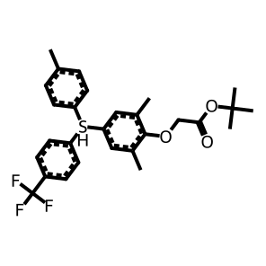 Cc1ccc([SH](c2ccc(C(F)(F)F)cc2)c2cc(C)c(OCC(=O)OC(C)(C)C)c(C)c2)cc1